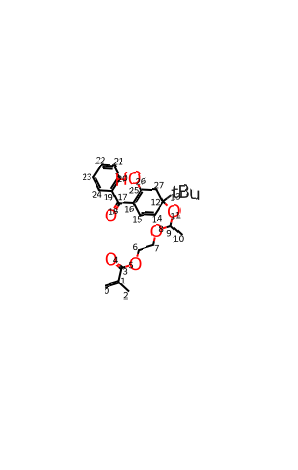 C=C(C)C(=O)OCCOC(C)OC1(C(C)(C)C)C=CC(C(=O)c2ccccc2)=C(O)C1